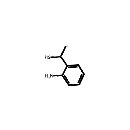 [CH]C(S)c1ccccc1N